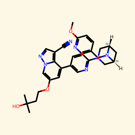 COc1ccc(CN2[C@H]3C[C@H]2CN(c2ccc(-c4cc(OCCC(C)(C)O)cn5ncc(C#N)c45)cn2)C3)cn1